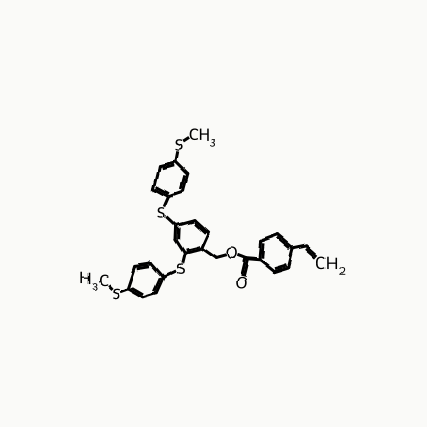 C=Cc1ccc(C(=O)OCc2ccc(Sc3ccc(SC)cc3)cc2Sc2ccc(SC)cc2)cc1